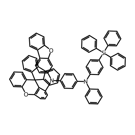 c1ccc(N(c2ccc(N(c3ccc4c(c3)oc3ccccc34)c3cccc4c3C3(c5ccccc5O4)c4ccccc4-c4ccccc43)cc2)c2ccc([Si](c3ccccc3)(c3ccccc3)c3ccccc3)cc2)cc1